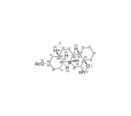 CCCO[C@]12CCCC[C@H]1[C@@H]1C[C@@H](C)[C@H]3C[C@@H](OC(C)=O)CC[C@@H]3[C@H]1CC2